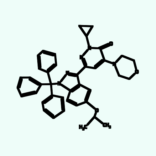 CC(C)Oc1ccc2c(c1)c(-c1cc(N3CCOCC3)c(=O)n(C3CC3)n1)nn2C(c1ccccc1)(c1ccccc1)c1ccccc1